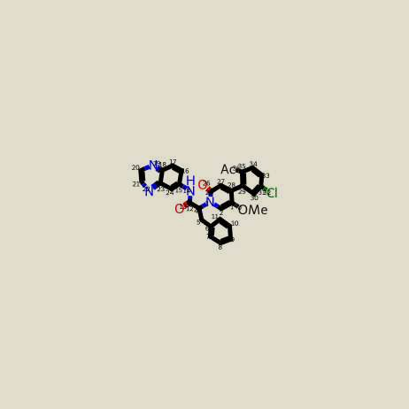 COc1cn(C(Cc2ccccc2)C(=O)Nc2ccc3nccnc3c2)c(=O)cc1-c1cc(Cl)ccc1C(C)=O